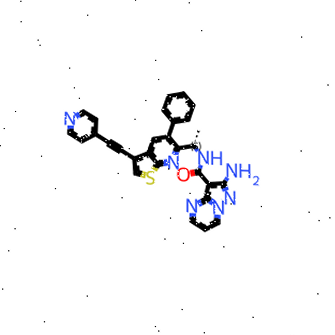 C[C@H](NC(=O)c1c(N)nn2cccnc12)c1nc2scc(C#Cc3ccncc3)c2cc1-c1ccccc1